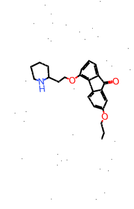 CCCOc1ccc2c(c1)C(=O)c1cccc(OCCC3CCCCN3)c1-2